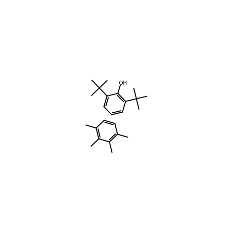 CC(C)(C)c1cccc(C(C)(C)C)c1O.Cc1ccc(C)c(C)c1C